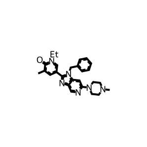 CCn1cc(-c2nc3cnc(N4CCN(C)CC4)cc3n2Cc2ccccc2)cc(C)c1=O